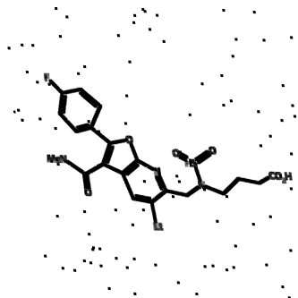 CCc1cc2c(C(=O)NC)c(-c3ccc(F)cc3)oc2nc1CN(CCCC(=O)O)[SH](=O)=O